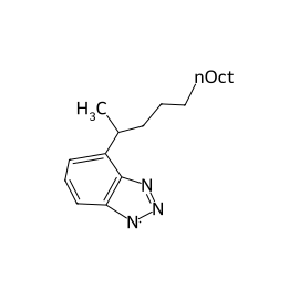 CCCCCCCCCCCC(C)c1cccc2c1N=N[N]2